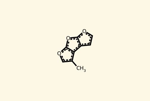 Cc1coc2oc3occc3c12